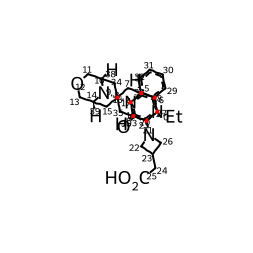 CC[C@@H]1C[C@@H]2C[C@H](C1)C[C@@H](N1[C@@H]3COC[C@H]1C[C@@H](n1c(=O)c(N4CC(CC(=O)O)C4)nc4ccccc41)C3)C2